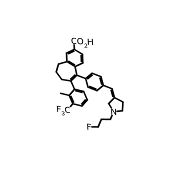 Cc1c(C2=C(c3ccc(C=C4CCN(CCCF)C4)cc3)c3ccc(C(=O)O)cc3CCC2)cccc1C(F)(F)F